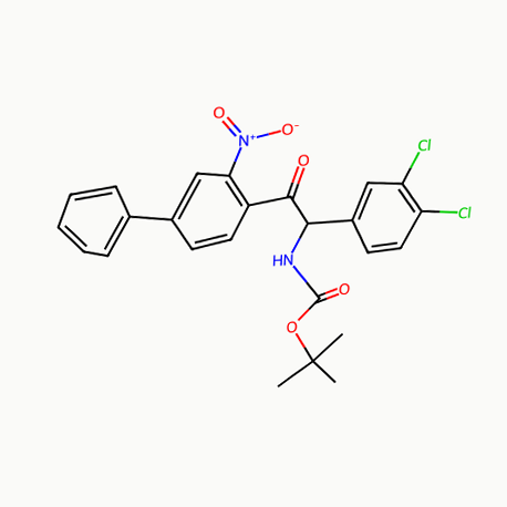 CC(C)(C)OC(=O)NC(C(=O)c1ccc(-c2ccccc2)cc1[N+](=O)[O-])c1ccc(Cl)c(Cl)c1